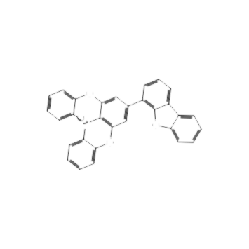 O=P12c3ccccc3Oc3cc(-c4cccc5c4oc4ccccc45)cc(c31)Oc1ccccc12